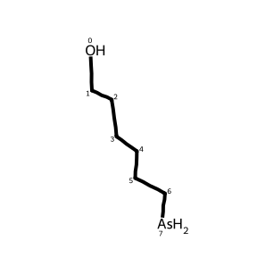 OCCCCCC[AsH2]